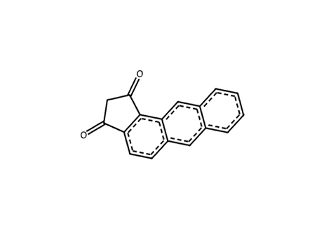 O=C1CC(=O)c2c1ccc1cc3ccccc3cc21